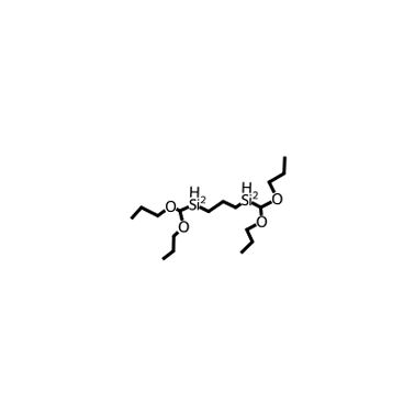 CCCOC(OCCC)[SiH2]CCC[SiH2]C(OCCC)OCCC